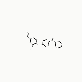 C=C(c1ccccc1)c1ccc(Oc2ccc(C=CC)cc2OC)cc1